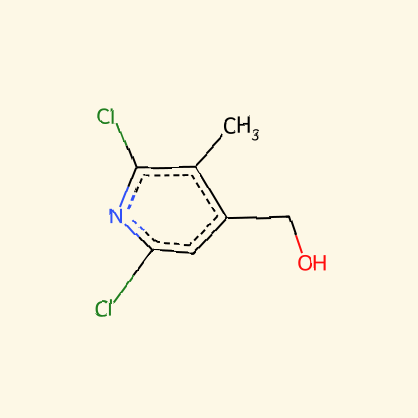 Cc1c(CO)cc(Cl)nc1Cl